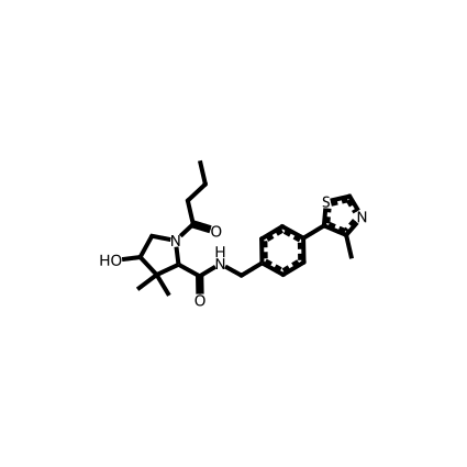 CCCC(=O)N1CC(O)C(C)(C)C1C(=O)NCc1ccc(-c2scnc2C)cc1